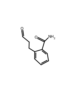 NC(=O)c1ccccc1CCC=O